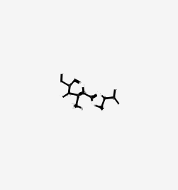 CCC1C=NC(C2=NC(C(C)C)C(=O)N2)=C(C(=O)O)C1C